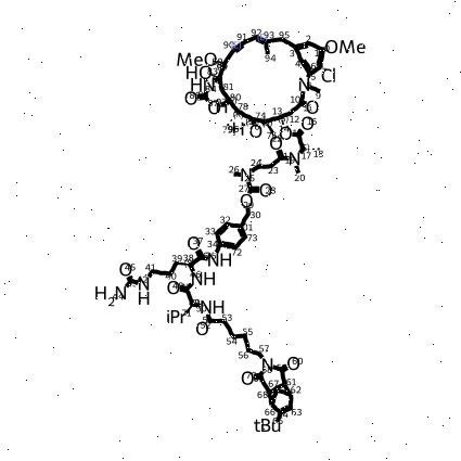 COc1cc2cc(c1Cl)N(C)C(=O)C[C@H](OC(=O)[C@H](C)N(C)C(=O)CCN(C)C(=O)OCc1ccc(NC(=O)[C@H](CCCNC(N)=O)NC(=O)[C@@H](NC(=O)CCCCCN3C(=O)C4C5C=C(C(C)(C)C)C(C5)C4C3=O)C(C)C)cc1)[C@]1(C)O[C@H]1[C@H](C)[C@@H]1C[C@@](O)(NC(=O)O1)[C@H](OC)/C=C/C=C(\C)C2